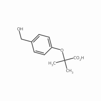 CC(C)(Oc1ccc(CO)cc1)C(=O)O